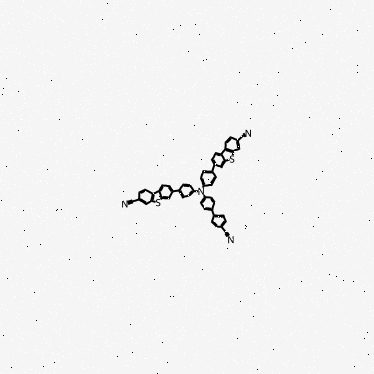 N#Cc1ccc(-c2ccc(N(c3ccc(-c4ccc5c(c4)sc4cc(C#N)ccc45)cc3)c3ccc(-c4ccc5c(c4)sc4cc(C#N)ccc45)cc3)cc2)cc1